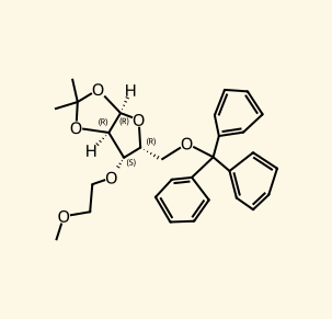 COCCO[C@@H]1[C@H]2OC(C)(C)O[C@H]2O[C@@H]1COC(c1ccccc1)(c1ccccc1)c1ccccc1